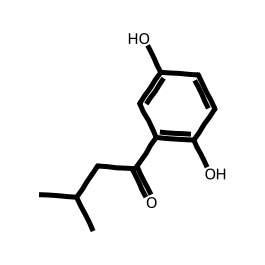 CC(C)CC(=O)c1cc(O)ccc1O